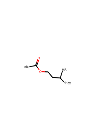 CCCCCCC(CCCC)CCOC(=O)CCCC